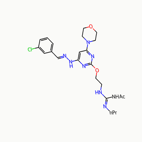 CCC/N=C(/NCCOc1nc(N/N=C/c2cccc(Cl)c2)cc(N2CCOCC2)n1)NC(C)=O